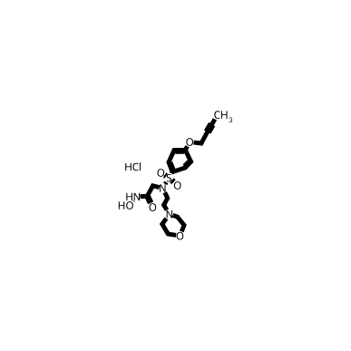 CC#CCOc1ccc(S(=O)(=O)N(CCN2CCOCC2)CC(=O)NO)cc1.Cl